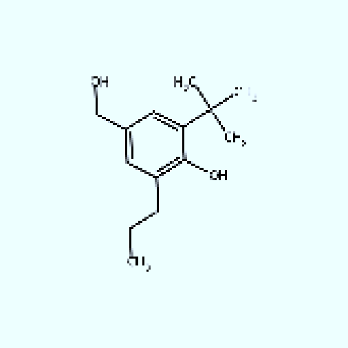 CCCc1cc(CO)cc(C(C)(C)C)c1O